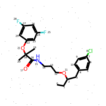 CCC(Cc1ccc(Cl)cc1)OCCCNC(=O)C(C)(C)Oc1cc(F)cc(F)c1